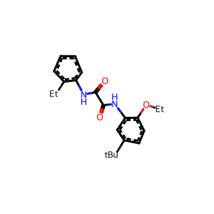 CCOc1ccc(C(C)(C)C)cc1NC(=O)C(=O)Nc1ccccc1CC